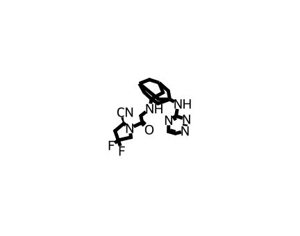 N#C[C@@H]1CC(F)(F)CN1C(=O)CNC12CC3CC(C1)CC(Nc1nccnn1)(C3)C2